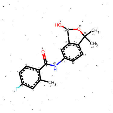 Cc1cc(F)ccc1C(=O)Nc1ccc2c(c1)B(O)OC2(C)C